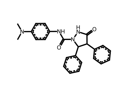 CN(C)c1ccc(NC(=O)N2NC(=O)C(c3ccccc3)C2c2ccccc2)cc1